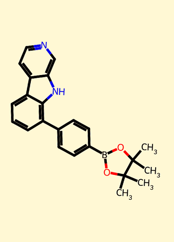 CC1(C)OB(c2ccc(-c3cccc4c3[nH]c3cnccc34)cc2)OC1(C)C